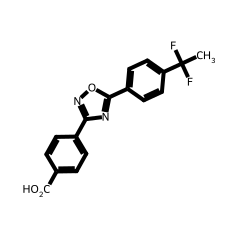 CC(F)(F)c1ccc(-c2nc(-c3ccc(C(=O)O)cc3)no2)cc1